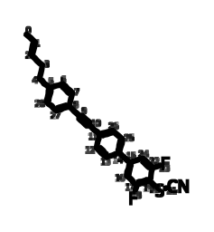 C/C=C/CCc1ccc(C#Cc2ccc(-c3cc(F)c(SC#N)c(F)c3)cc2)cc1